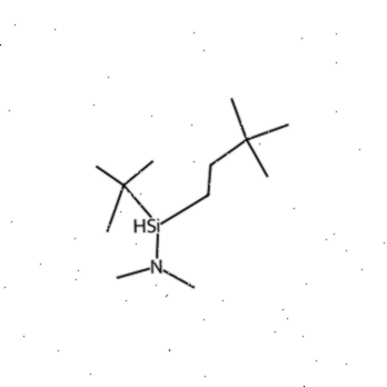 CN(C)[SiH](CCC(C)(C)C)C(C)(C)C